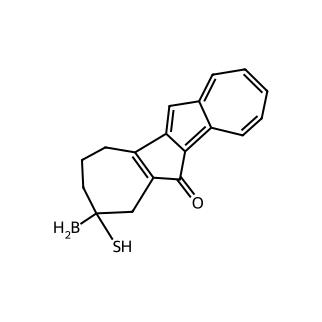 BC1(S)CCCC2=C(C1)C(=O)c1c2cc2cccccc1-2